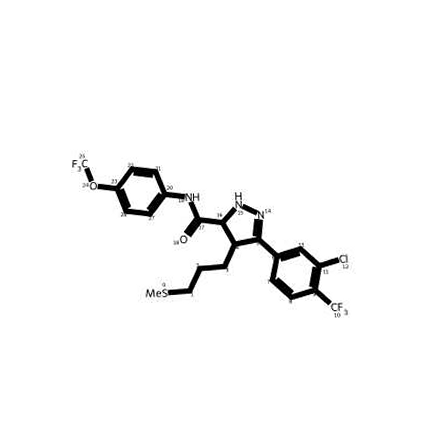 CSCCCC1C(c2ccc(C(F)(F)F)c(Cl)c2)=NNC1C(=O)Nc1ccc(OC(F)(F)F)cc1